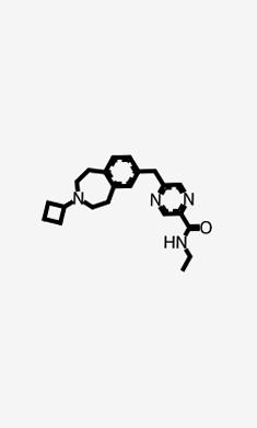 CCNC(=O)c1cnc(Cc2ccc3c(c2)CCN(C2CCC2)CC3)cn1